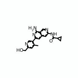 Cc1cc(CO)ncc1-c1cc2cc(NC(=O)C3CC3)ncc2c(N)n1